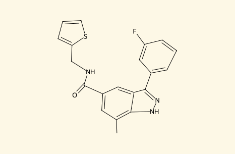 Cc1cc(C(=O)NCc2cccs2)cc2c(-c3cccc(F)c3)n[nH]c12